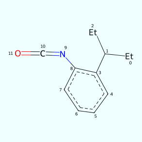 CCC(CC)c1ccccc1N=C=O